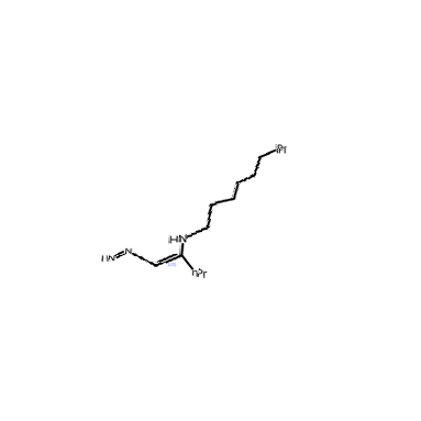 CCC/C(=C/N=N)NCCCCCCC(C)C